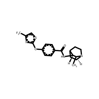 C[C@H]1[C@H](NC(=O)c2ccc(Oc3nc(C(F)(F)F)cs3)cc2)C2CCN1CC2